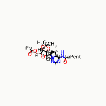 CCCCCC(=O)Nc1ncnn2c([C@]3(C#N)O[C@H](COC(=O)C(C)C)[C@H]4OC(C)(C)O[C@H]43)ccc12